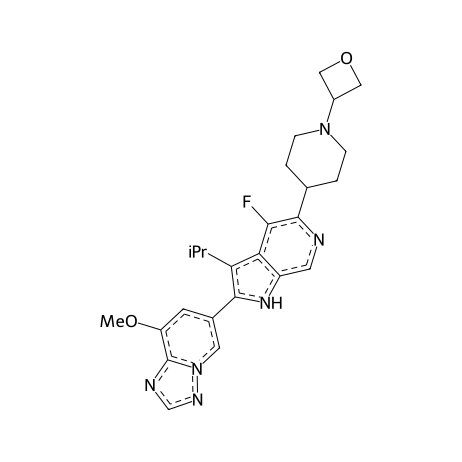 COc1cc(-c2[nH]c3cnc(C4CCN(C5COC5)CC4)c(F)c3c2C(C)C)cn2ncnc12